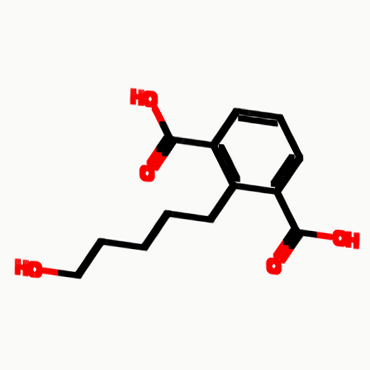 O=C(O)c1cccc(C(=O)O)c1CCCCCO